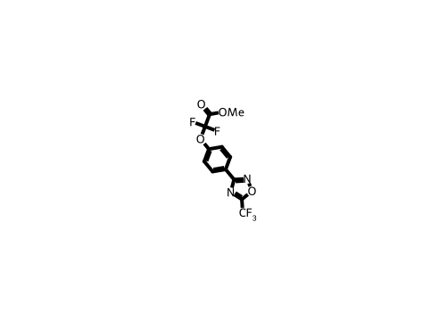 COC(=O)C(F)(F)Oc1ccc(-c2noc(C(F)(F)F)n2)cc1